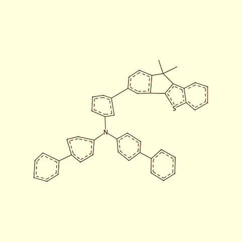 CC1(C)c2ccc(-c3cccc(N(c4ccc(-c5ccccc5)cc4)c4ccc(-c5ccccc5)cc4)c3)cc2-c2sc3ccccc3c21